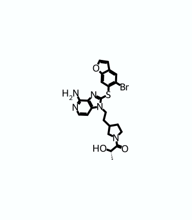 C[C@H](O)C(=O)N1CCC(CCn2c(Sc3cc4occc4cc3Br)nc3c(N)nccc32)C1